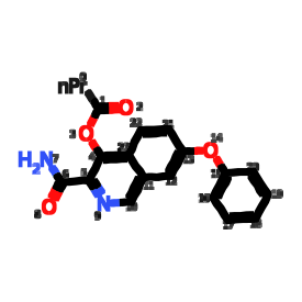 CCCC(=O)Oc1c(C(N)=O)ncc2cc(Oc3ccccc3)ccc12